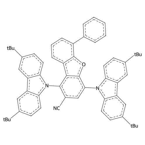 CC(C)(C)c1ccc2c(c1)c1cc(C(C)(C)C)ccc1n2-c1cc(C#N)c(-n2c3ccc(C(C)(C)C)cc3c3cc(C(C)(C)C)ccc32)c2c1oc1c(-c3ccccc3)cccc12